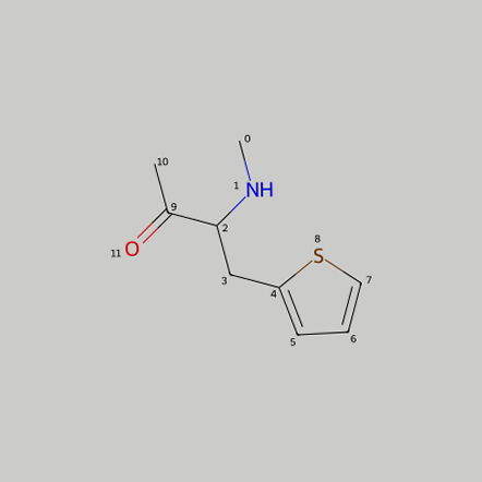 CNC(Cc1cccs1)C(C)=O